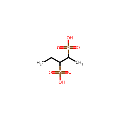 CCC(C(C)S(=O)(=O)O)S(=O)(=O)O